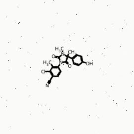 Cc1c(N2C(=O)N(C)C(C)(c3ccc(O)cc3)C2=O)ccc(C#N)c1Cl